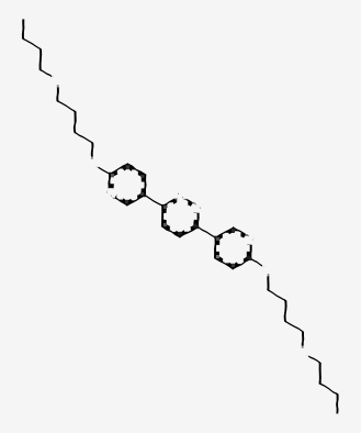 CCCCOCCCCOc1ccc(-c2ccc(-c3ccc(OCCCCOCCCC)nc3)nn2)cn1